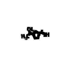 CC(C)C1CCN(SS)C1